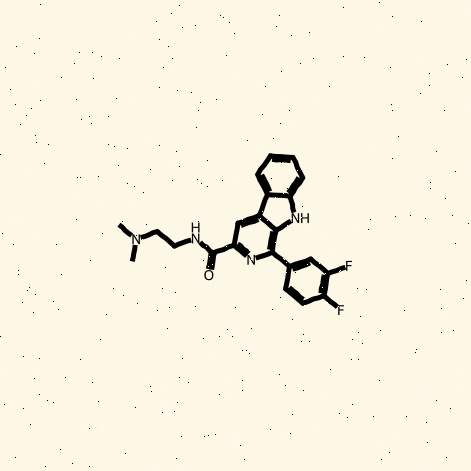 CN(C)CCNC(=O)c1cc2c([nH]c3ccccc32)c(-c2ccc(F)c(F)c2)n1